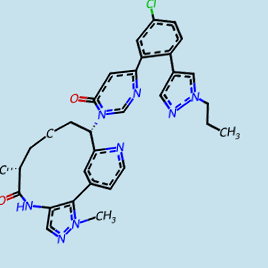 CCCn1cc(-c2ccc(Cl)cc2-c2cc(=O)n([C@H]3CCC[C@@H](C)C(=O)Nc4cnn(C)c4-c4ccnc3c4)cn2)cn1